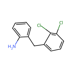 Nc1ccccc1Cc1cccc(Cl)c1Cl